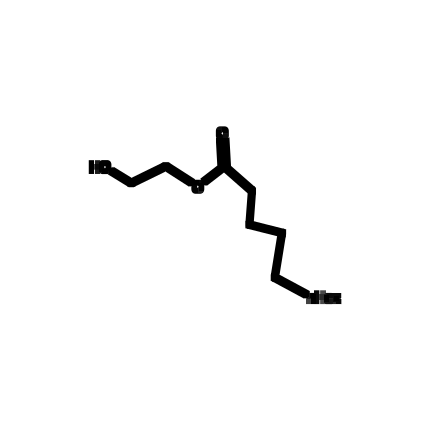 CCCCCCCCCCC(=O)OCCO